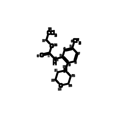 O=C(Nc1cc(C(F)(F)F)ccc1N1CCOCC1)OCC(Cl)(Cl)Cl